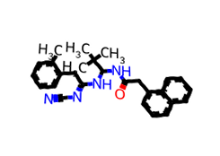 Cc1ccccc1C/C(=N\C#N)NC(NC(=O)Cc1cccc2ccccc12)C(C)(C)C